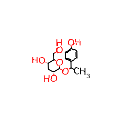 CC(O[C@@H]1O[C@H](CO)[C@@H](O)C[C@H]1O)c1ccc(O)cc1